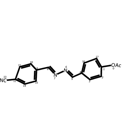 CC(=O)Oc1ccc(/C=N/N=C/c2ccc(C#N)cc2)cc1